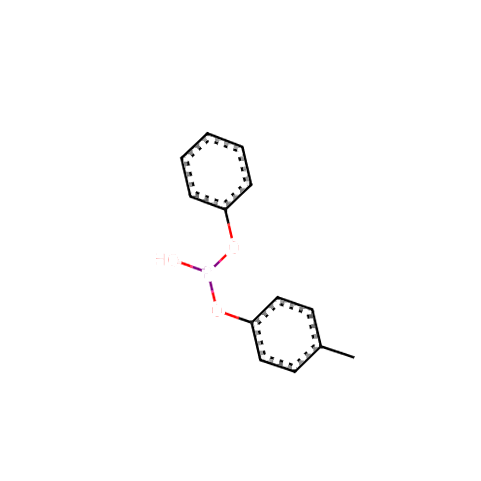 Cc1ccc(OP(O)Oc2ccccc2)cc1